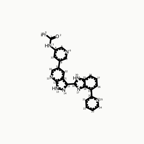 CC(C)C(=O)Nc1cncc(-c2cnc3[nH]nc(-c4nc5c(-c6ccccn6)cccc5[nH]4)c3c2)c1